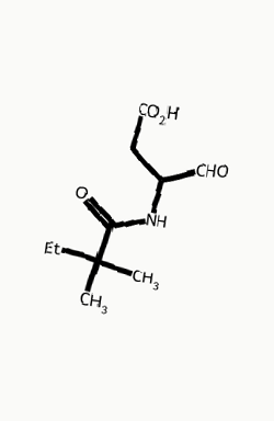 CCC(C)(C)C(=O)NC(C=O)CC(=O)O